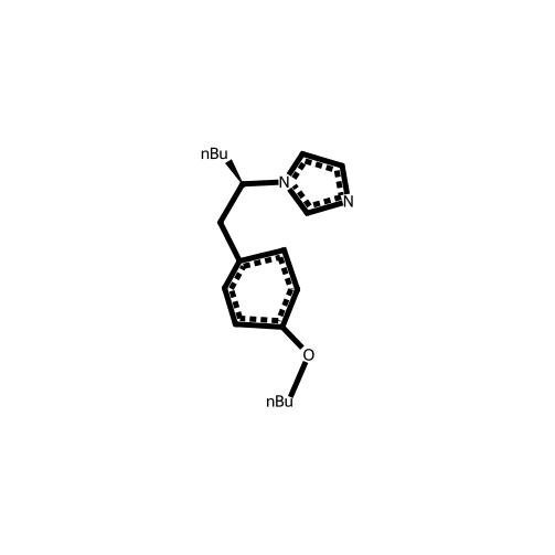 CCCCOc1ccc(C[C@@H](CCCC)n2ccnc2)cc1